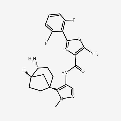 Cn1ncc(NC(=O)c2nc(-c3c(F)cccc3F)sc2N)c1[C@@]12CC[C@@H](C1)[C@H](N)CC2